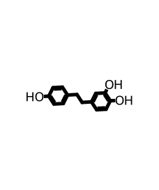 Oc1ccc(CCc2ccc(O)c(O)c2)cc1